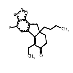 CCCCC12CCC(=O)C(CC)=C1c1cc(F)c3[nH]nnc3c1C2